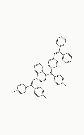 Cc1ccc(C(=Cc2ccc(N(c3ccc(C)cc3)c3ccc(C=C(c4ccccc4)c4ccccc4)cc3)c3ccccc23)c2ccc(C)cc2)cc1